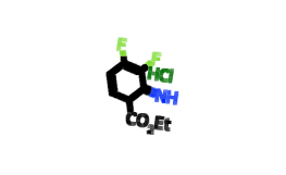 CCOC(=O)C1C=CC(F)=C(F)C1=N.Cl